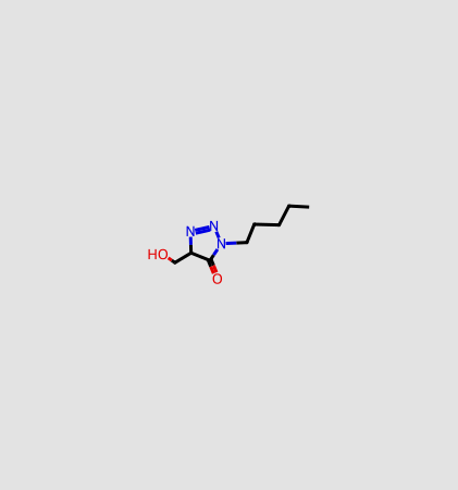 CCCCCN1N=NC(CO)C1=O